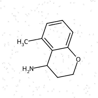 Cc1cccc2c1C(N)CCO2